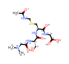 CC(=O)NCSC[C@H](NC(=O)[C@H](CO)NC(=O)CN(C)C)C(=O)NCC(=O)O